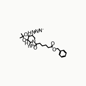 CCCC1[C@@H]2OC(C)(C)O[C@@H]2[C@@H](N=[N+]=[N-])CN1C(=O)CCCCC(=O)OCc1ccccc1